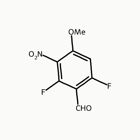 COc1cc(F)c(C=O)c(F)c1[N+](=O)[O-]